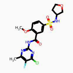 COc1ccc(S(=O)(=O)NC2CCOC2)cc1C(=O)Nc1nc(C)c(F)c(Cl)n1